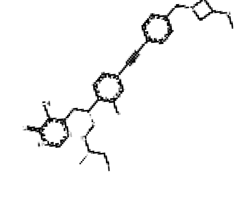 COC1CN(Cc2ccc(C#Cc3ccc([C@H](CN[C@@H](C)CF)Cc4nc[nH]c(=O)c4O)c(F)c3)cc2)C1